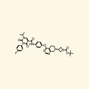 CC(C)n1cc(C(=O)Nc2ccc(Oc3ncnc4c3CCN(C3CN(C(=O)OC(C)(C)C)C3)C4)cc2)c(=O)n(-c2ccc(F)cc2)c1=O